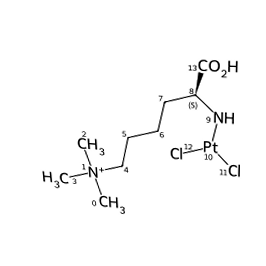 C[N+](C)(C)CCCC[C@H]([NH][Pt]([Cl])[Cl])C(=O)O